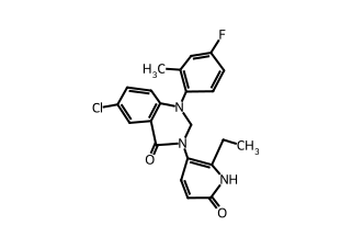 CCc1[nH]c(=O)ccc1N1CN(c2ccc(F)cc2C)c2ccc(Cl)cc2C1=O